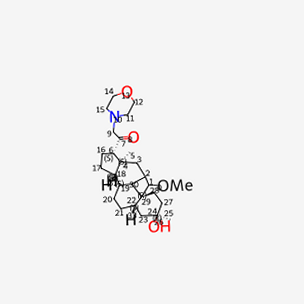 COC1C2C[C@]3(C)[C@@H](C(=O)CN4CCOCC4)CC[C@H]3[C@@H]3CC[C@H]4C[C@](C)(O)CC[C@@]14C23